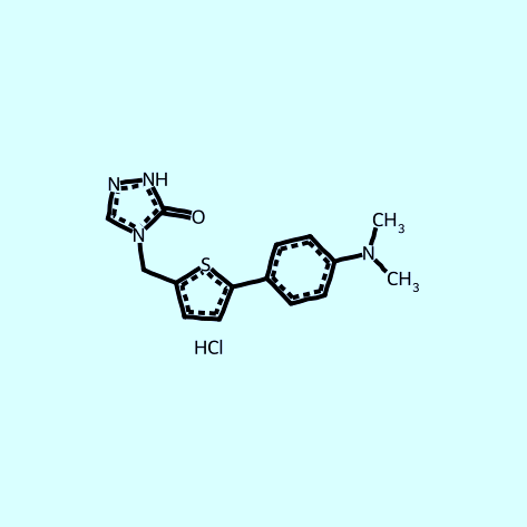 CN(C)c1ccc(-c2ccc(Cn3cn[nH]c3=O)s2)cc1.Cl